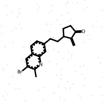 C=C1C(=O)CCC1CCc1ccc2cc(Br)c(C)nc2c1